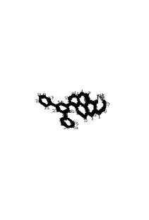 C1=CC2=CC3=C4C(=CC=C5C=CC(c6cc(-c7ccccc7)cc(-c7ccccc7)c6)=C(C=C3)C54)C2N=C1